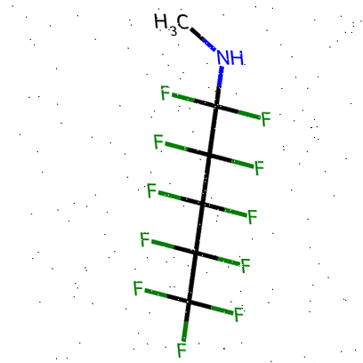 CNC(F)(F)C(F)(F)C(F)(F)C(F)(F)C(F)(F)F